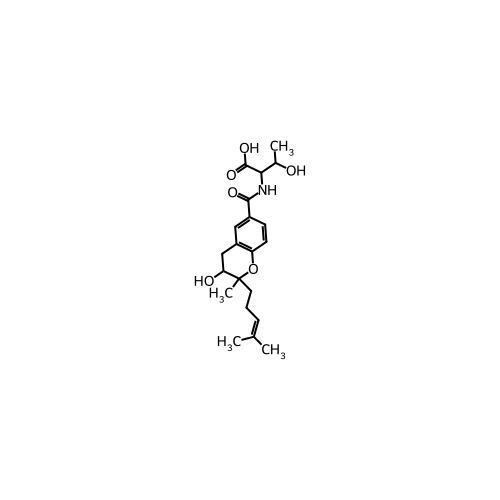 CC(C)=CCCC1(C)Oc2ccc(C(=O)NC(C(=O)O)C(C)O)cc2CC1O